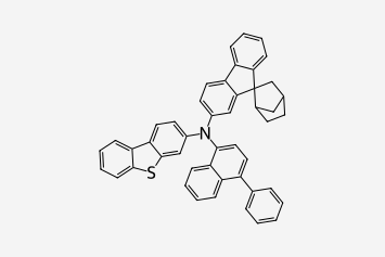 c1ccc(-c2ccc(N(c3ccc4c(c3)C3(CC5CCC3C5)c3ccccc3-4)c3ccc4c(c3)sc3ccccc34)c3ccccc23)cc1